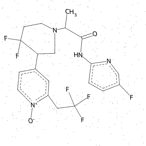 CC(C(=O)Nc1ccc(F)cn1)N1CCC(F)(F)C(c2cc[n+]([O-])c(CC(F)(F)F)c2)C1